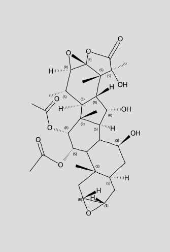 CC(=O)O[C@H]1C2C([C@@H]3[C@@H](O)[C@@H]4[C@H]([C@H](C)[C@H]5O[C@]56OC(=O)[C@@](C)(O)[C@]46C)[C@@]3(C)[C@H]1OC(C)=O)[C@@H](O)C[C@H]1C[C@@H]3O[C@@H]3C[C@]21C